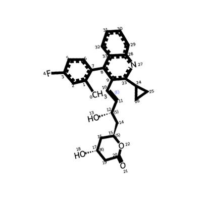 Cc1cc(F)ccc1-c1c(/C=C/[C@@H](O)C[C@@H]2C[C@@H](O)CC(=O)O2)c(C2CC2)nc2ccccc12